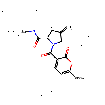 C=C1C[C@@H](C(=O)NC(C)(C)C)N(C(=O)c2ccc(CCCCC)oc2=O)C1